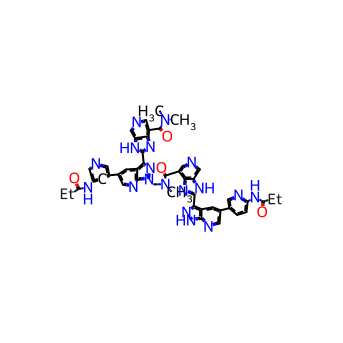 CCC(=O)Nc1cncc(-c2cnc3c(c2)c(-c2nc4c(C(=O)N(C)C)cncc4[nH]2)nn3CN(C)C(=O)c2cncc3[nH]c(-c4n[nH]c5ncc(-c6ccc(NC(=O)CC)nc6)cc45)nc23)c1